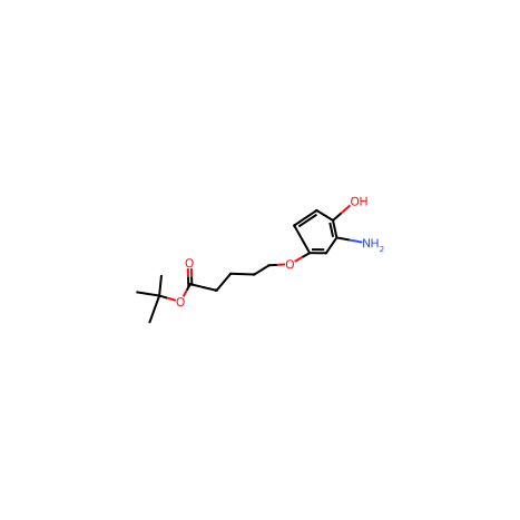 CC(C)(C)OC(=O)CCCCOc1ccc(O)c(N)c1